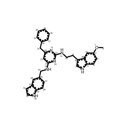 COc1ccc2[nH]cc(CCNc3nc(Cc4ccccc4)cc(NCc4ccc5[nH]ccc5c4)n3)c2c1